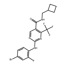 O=C(NCC1CCC1)c1cnc(Nc2ccc(Br)cc2F)nc1C(F)(F)F